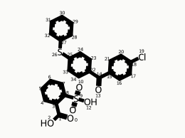 O=C(O)c1ccccc1S(=O)(=O)O.O=C(c1ccc(Cl)cc1)c1ccc(Sc2ccccc2)cc1